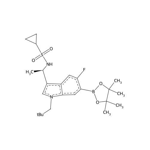 C[C@@H](NS(=O)(=O)C1CC1)c1cn(CC(C)(C)C)c2cc(B3OC(C)(C)C(C)(C)O3)c(F)cc12